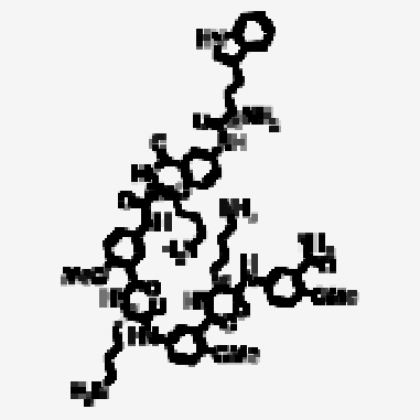 COc1ccc(NC(=O)[C@H](CCCCN)NC(=O)c2cc(NC(=O)[C@H](CCCCN)NC(=O)c3cc(NC(=O)[C@H](CCCCN)NC(=O)c4cc(NC(=O)[C@@H](N)CCc5c[nH]c6ccccc56)ccc4OC)ccc3OC)ccc2OC)cc1C(N)=O